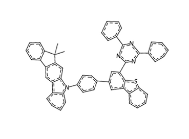 CC1(C)c2ccccc2-c2cc3c4ccccc4n(-c4ccc(-c5cc(-c6nc(-c7ccccc7)nc(-c7ccccc7)n6)c6sc7ccccc7c6c5)cc4)c3cc21